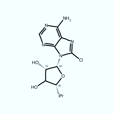 CC(C)[C@H]1O[C@@H](n2c(Cl)nc3c(N)ncnc32)[C@@H](O)C1O